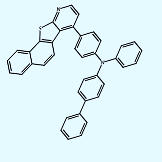 c1ccc(-c2ccc(N(c3ccccc3)c3ccc(-c4ccnc5sc6c7ccccc7ccc6c45)cc3)cc2)cc1